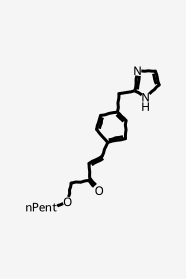 CCCCCOCC(=O)C=Cc1ccc(Cc2ncc[nH]2)cc1